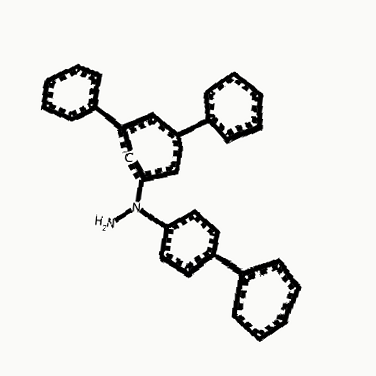 NN(c1ccc(-c2ccccc2)cc1)c1cc(-c2ccccc2)cc(-c2ccccc2)c1